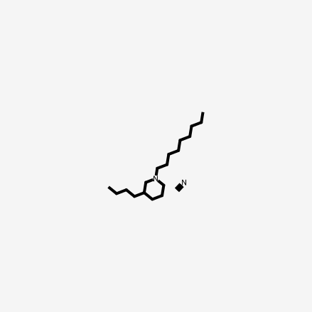 C#N.CCCCCCCCCN1CCCC(CCCC)C1